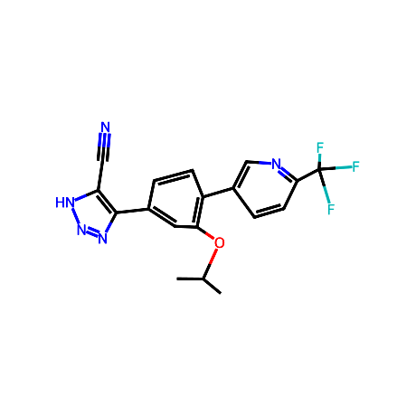 CC(C)Oc1cc(-c2nn[nH]c2C#N)ccc1-c1ccc(C(F)(F)F)nc1